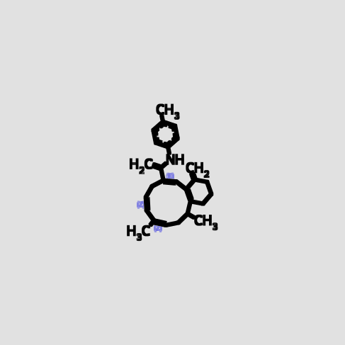 C=C1CCCC2=C1/C=C(/C(=C)Nc1ccc(C)cc1)C/C=C\C(C)=C/CC2C